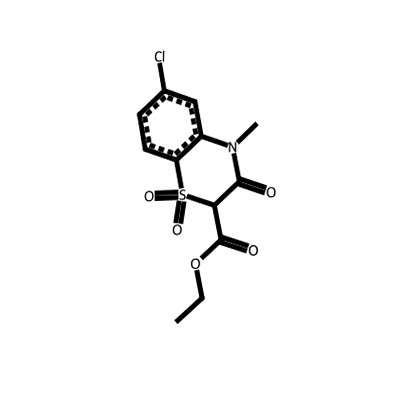 CCOC(=O)C1C(=O)N(C)c2cc(Cl)ccc2S1(=O)=O